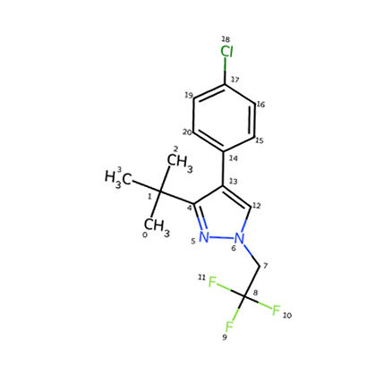 CC(C)(C)c1nn(CC(F)(F)F)cc1-c1ccc(Cl)cc1